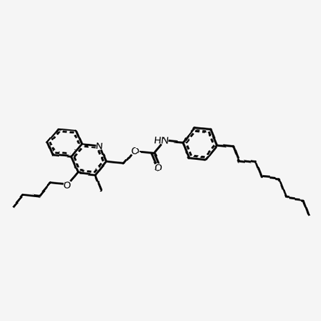 CCCCCCCCc1ccc(NC(=O)OCc2nc3ccccc3c(OCCCC)c2C)cc1